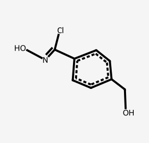 OCc1ccc(/C(Cl)=N/O)cc1